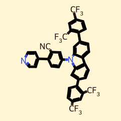 N#Cc1cc(-n2c3cc(-c4ccc(C(F)(F)F)cc4C(F)(F)F)ccc3c3ccc(-c4ccc(C(F)(F)F)cc4C(F)(F)F)cc32)ccc1-c1ccncc1